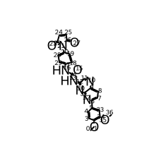 COc1ccc(-c2ccc3ncc(NC(=O)Nc4ccc(N5C(=O)C=CC5=O)cc4)nc3n2)cc1OC